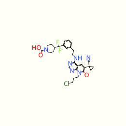 N#CC1(c2cc3c(NCCc4cccc(C(F)(F)C5CCN(C(=O)O)CC5)c4)ncnc3n(CCCCl)c2=O)CC1